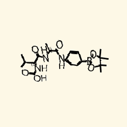 CC(C)[C@H](NC(=O)O)C(=O)N[C@@H](C)C(=O)Nc1ccc(B2OC(C)(C)C(C)(C)O2)cc1